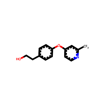 OCCc1ccc(Oc2ccnc(C(F)(F)F)c2)cc1